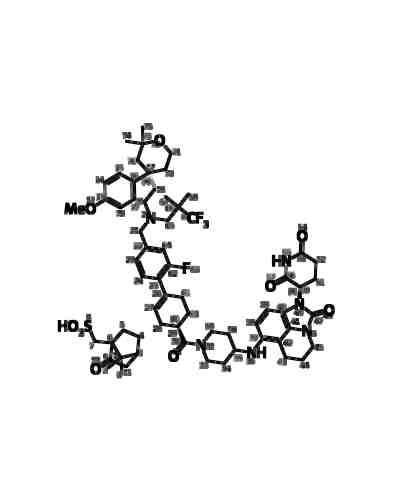 CC1(C)C2CCC1(CS(=O)(=O)O)C(=O)C2.COc1ccc([C@]2(CCN(Cc3ccc(C4=CC[C@H](C(=O)N5CCC(Nc6ccc7c8c6CCCn8c(=O)n7[C@@H]6CCC(=O)NC6=O)CC5)CC4)c(F)c3)CC(C)(C)C(F)(F)F)CCOC(C)(C)C2)cc1